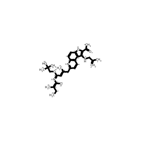 C=C(C)CNc1c(C(C)=O)oc2ccc3nc(C/C(C)=C/C(=N\C(Cl)=C(/C)CC)OCC(C)(C)O)ccc3c12